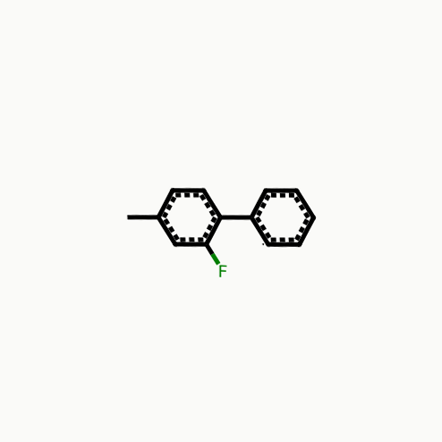 Cc1ccc(-c2[c]cccc2)c(F)c1